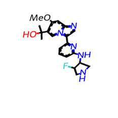 COc1cc2ncc(-c3cccc(NC4CNCC4F)n3)n2cc1C(C)(C)O